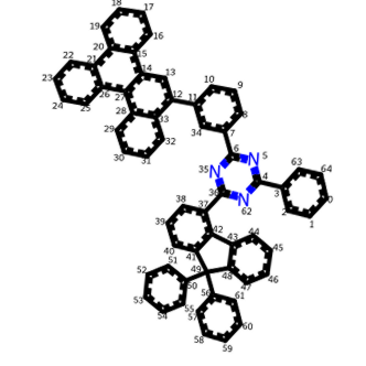 c1ccc(-c2nc(-c3cccc(-c4cc5c6ccccc6c6ccccc6c5c5ccccc45)c3)nc(-c3cccc4c3-c3ccccc3C4(c3ccccc3)c3ccccc3)n2)cc1